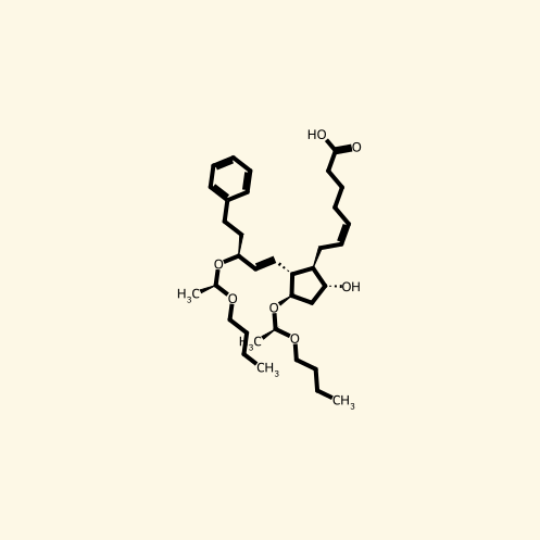 CCCCO[C@@H](C)O[C@H](/C=C/[C@@H]1[C@@H](C/C=C\CCCC(=O)O)[C@H](O)C[C@H]1O[C@H](C)OCCCC)CCc1ccccc1